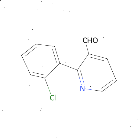 O=Cc1cccnc1-c1ccccc1Cl